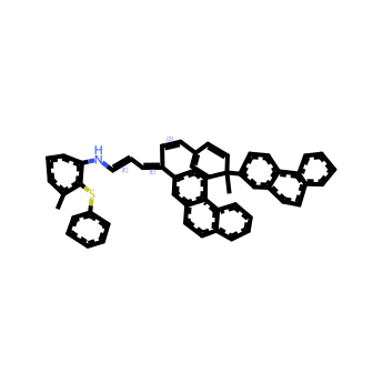 Cc1cccc(N/C=C/C=C(\C=C/C2=CCC(C)(c3ccc4c(ccc5ccccc54)c3)C=C2)c2ccc3c(ccc4ccccc43)c2)c1Sc1ccccc1